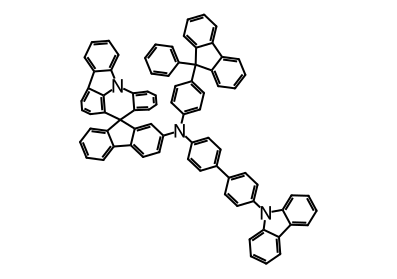 c1ccc(C2(c3ccc(N(c4ccc(-c5ccc(-n6c7ccccc7c7ccccc76)cc5)cc4)c4ccc5c(c4)C4(c6ccccc6-5)c5ccccc5-n5c6ccccc6c6cccc4c65)cc3)c3ccccc3-c3ccccc32)cc1